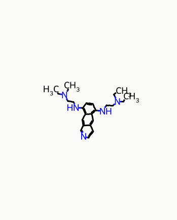 CCN(CC)CCNc1ccc(NCCN(CC)CC)c2cc3cnccc3cc12